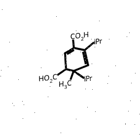 CC(C)C1=CC(C)(C(C)C)C(C(=O)O)C=C1C(=O)O